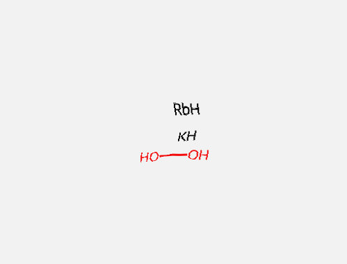 OO.[KH].[RbH]